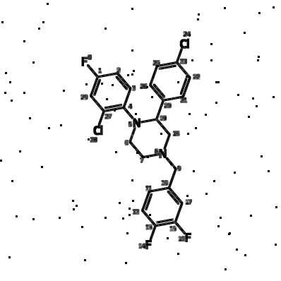 Fc1ccc(N2CCN(Cc3ccc(F)c(F)c3)CC2c2ccc(Cl)cc2)c(Cl)c1